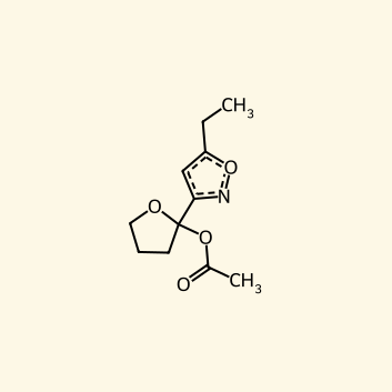 CCc1cc(C2(OC(C)=O)CCCO2)no1